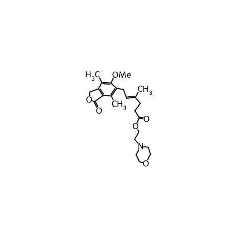 COc1c(C)c2c(c(C)c1C/C=C(\C)CCC(=O)OCCN1CCOCC1)C(=O)OC2